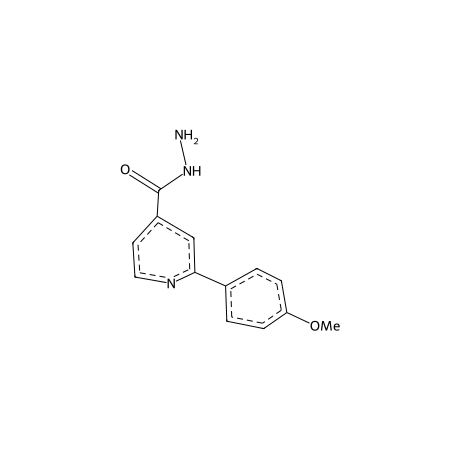 COc1ccc(-c2cc(C(=O)NN)ccn2)cc1